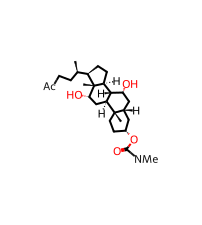 CNC(=O)O[C@@H]1CC[C@@]2(C)[C@@H](C1)C[C@@H](O)[C@@H]1[C@@H]2C[C@H](O)[C@]2(C)[C@@H]([C@H](C)CCC(C)=O)CC[C@@H]12